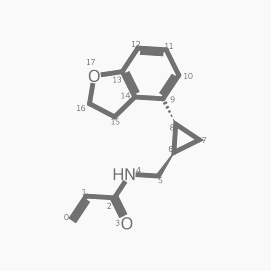 C=CC(=O)NC[C@@H]1C[C@H]1c1cccc2c1CCO2